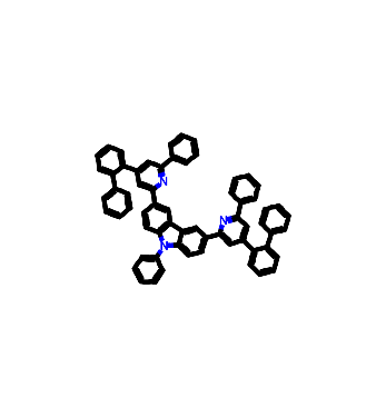 c1ccc(-c2cc(-c3ccccc3-c3ccccc3)cc(-c3ccc4c(c3)c3cc(-c5cc(-c6ccccc6-c6ccccc6)cc(-c6ccccc6)n5)ccc3n4-c3ccccc3)n2)cc1